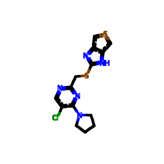 Clc1cnc(CSc2nc3cscc3[nH]2)nc1N1CCCC1